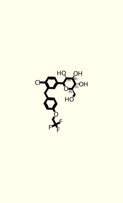 OC[C@H]1OC(c2ccc(Cl)c(Cc3ccc(OCC(F)(F)F)cc3)c2)[C@H](O)[C@@H](O)[C@@H]1O